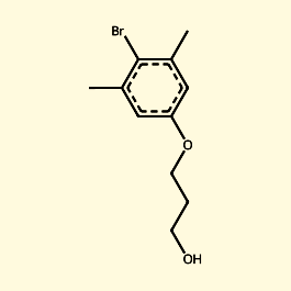 Cc1cc(OCCCO)cc(C)c1Br